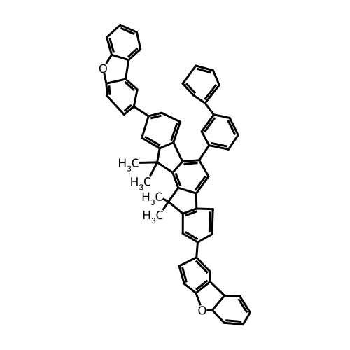 CC1(C)c2cc(-c3ccc4c(c3)C3C=CC=CC3O4)ccc2-c2cc(-c3cccc(-c4ccccc4)c3)c3c(c21)C(C)(C)c1cc(-c2ccc4oc5ccccc5c4c2)ccc1-3